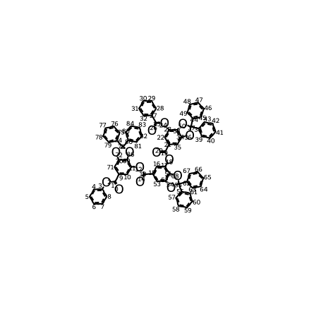 O=C(Oc1ccccc1)c1cc(OC(=O)c2cc(OC(=O)c3cc(OC(=O)c4ccccc4)c4c(c3)OC(c3ccccc3)(c3ccccc3)O4)c3c(c2)OC(c2ccccc2)(c2ccccc2)O3)c2c(c1)OC(c1ccccc1)(c1ccccc1)O2